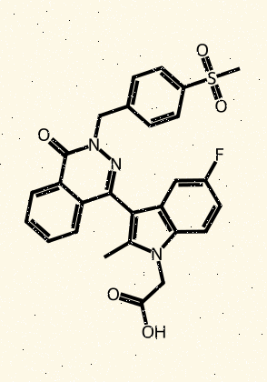 Cc1c(-c2nn(Cc3ccc(S(C)(=O)=O)cc3)c(=O)c3ccccc23)c2cc(F)ccc2n1CC(=O)O